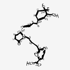 O=C(O)c1cnc(CCCN2C(=O)CC[C@@H]2C=CCCC2=CC(O)C(F)(F)C=C2)o1